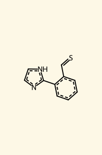 S=Cc1ccccc1-c1ncc[nH]1